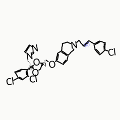 Clc1ccc(/C=C/CN2CCc3cc(OC[C@@H]4CO[C@@](Cn5ccnc5)(c5ccc(Cl)cc5Cl)O4)ccc3C2)cc1